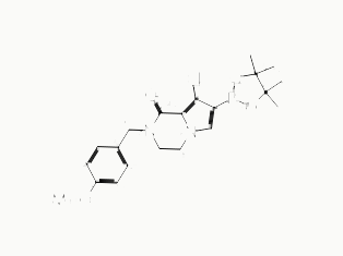 COc1ccc(CN2CCn3cc(B4OC(C)(C)C(C)(C)O4)c(Cl)c3C2=O)cc1